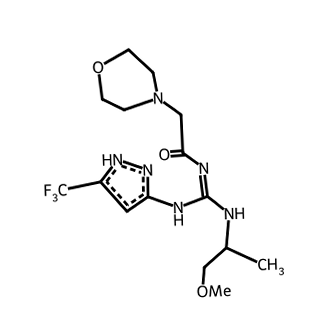 COCC(C)N/C(=N/C(=O)CN1CCOCC1)Nc1cc(C(F)(F)F)[nH]n1